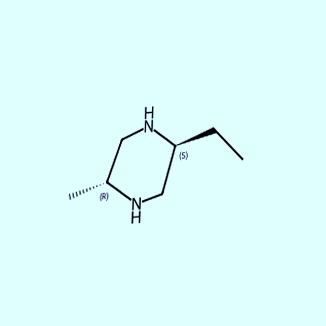 CC[C@H]1CN[C@H](C)CN1